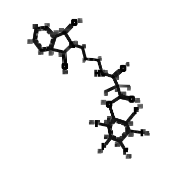 CC(C)(C(=O)NCCCN1C(=O)c2ccccc2C1=O)C(=O)Oc1c(F)c(F)c(F)c(F)c1F